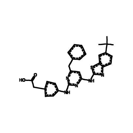 CC(C)(C)c1ccc2nc(Nc3cc(Cc4ccccc4)nc(Nc4ccc(CC(=O)O)cc4)n3)sc2c1